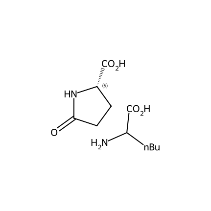 CCCCC(N)C(=O)O.O=C1CC[C@@H](C(=O)O)N1